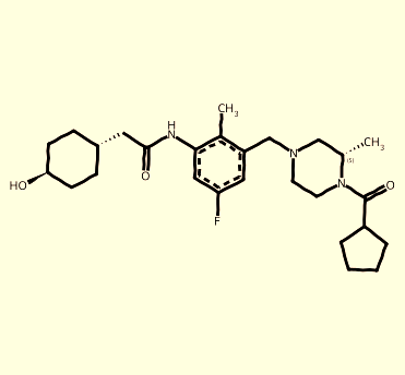 Cc1c(CN2CCN(C(=O)C3CCCC3)[C@@H](C)C2)cc(F)cc1NC(=O)C[C@H]1CC[C@H](O)CC1